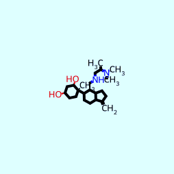 C=C1CCC2C1CCC([C@@]1(C)CC[C@@H](O)C[C@H]1O)[C@H]2CNCC(C)N(C)C